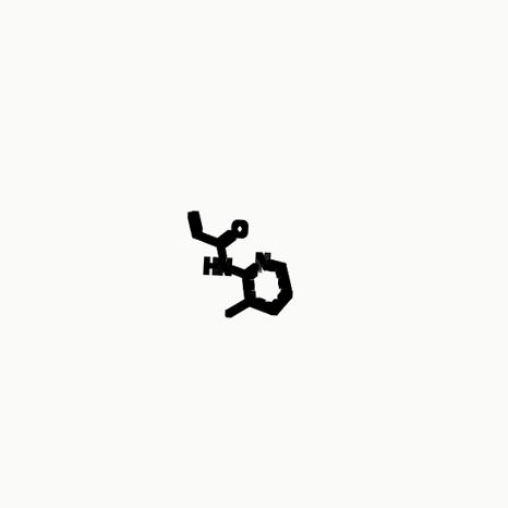 C=CC(=O)Nc1ncccc1C